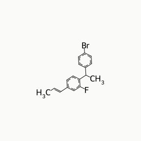 CC=Cc1ccc(C(C)c2ccc(Br)cc2)c(F)c1